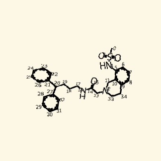 CS(=O)(=O)Nc1cccc2c1CN(CC(=O)NCCCC(c1ccccc1)c1ccccc1)CC2